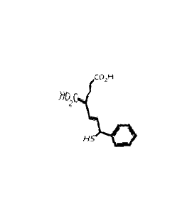 O=C(O)CCC(CCC(S)c1ccccc1)C(=O)O